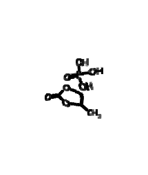 CC1COC(=O)O1.O=P(O)(O)O